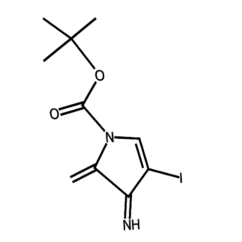 C=C1C(=N)C(I)=CN1C(=O)OC(C)(C)C